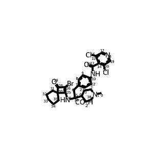 CN1CCC([C@](Cc2ccc(NC(=O)c3c(Cl)cncc3Cl)cc2)(NC2=C(Br)C(=O)C23CCCCC3)C(=O)O)CC1